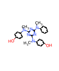 CN(c1ccccc1)c1nc(N(C)c2ccc(O)cc2)nc(N(C)c2ccc(O)cc2)n1